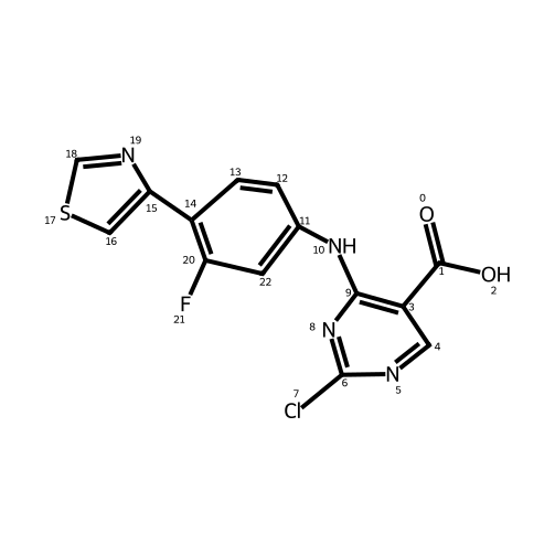 O=C(O)c1cnc(Cl)nc1Nc1ccc(-c2cscn2)c(F)c1